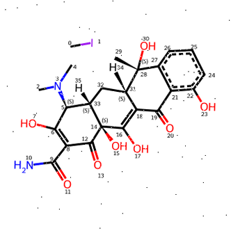 CI.CN(C)[C@@H]1C(O)=C(C(N)=O)C(=O)[C@@]2(O)C(O)=C3C(=O)c4c(O)cccc4[C@@](C)(O)[C@H]3C[C@@H]12